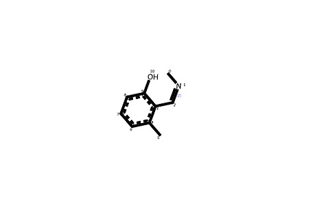 C/N=C\c1c(C)cccc1O